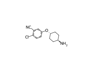 N#Cc1cc(O[C@H]2CC[C@H](N)CC2)ccc1Cl